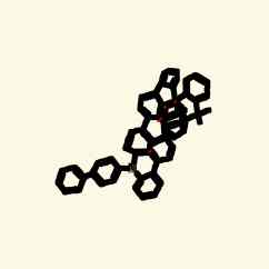 CC1(C)c2ccccc2C2(c3ccccc3-c3ccc(-c4ccc(N(c5ccc(-c6ccccc6)cc5)c5ccccc5-c5ccc(-c6ccccc6)cc5)cc4)cc32)c2ccccc21